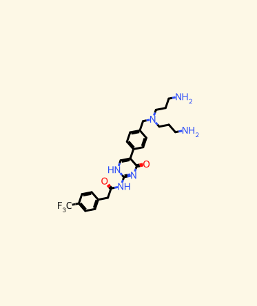 NCCCN(CCCN)Cc1ccc(-c2c[nH]c(NC(=O)Cc3ccc(C(F)(F)F)cc3)nc2=O)cc1